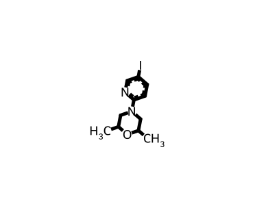 CC1CN(c2ccc(I)cn2)CC(C)O1